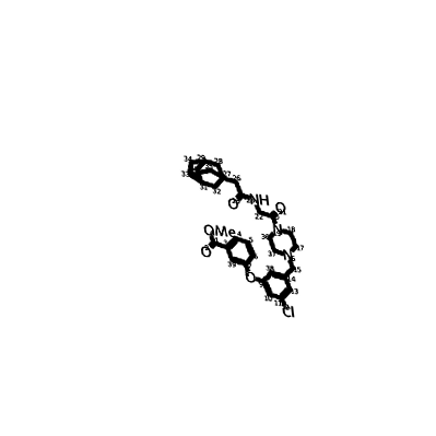 COC(=O)c1cccc(Oc2cc(Cl)cc(CN3CCN(C(=O)CNC(=O)CC45CC6CC(C4)C(C6)C5)CC3)c2)c1